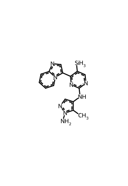 Cc1c(Nc2ncc([SiH3])c(-c3cnc4ccccn34)n2)cnn1N